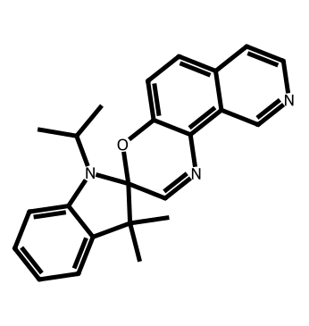 CC(C)N1c2ccccc2C(C)(C)C12C=Nc1c(ccc3ccncc13)O2